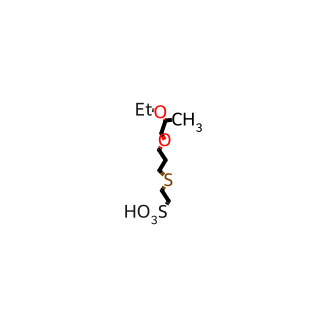 CCOC(C)COCCCSCCS(=O)(=O)O